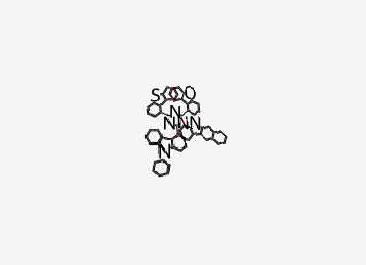 c1ccc(-n2c3ccccc3c3c(-c4nc(-c5c(-n6c7ccccc7c7cc8ccccc8cc76)ccc6oc7ccccc7c56)nc(-c5cccc6sc7ccccc7c56)n4)cccc32)cc1